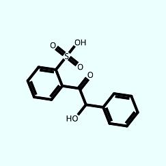 O=C(c1ccccc1S(=O)(=O)O)C(O)c1ccccc1